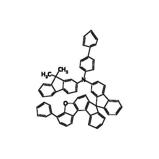 CC1(C)c2ccccc2-c2ccc(N(c3ccc(-c4ccccc4)cc3)c3ccc4c(c3)C3(c5ccccc5-4)c4ccccc4-c4c3ccc3oc5c(-c6ccccc6)cccc5c43)cc21